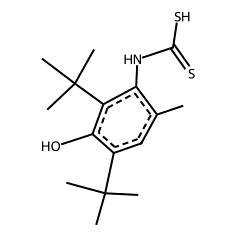 Cc1cc(C(C)(C)C)c(O)c(C(C)(C)C)c1NC(=S)S